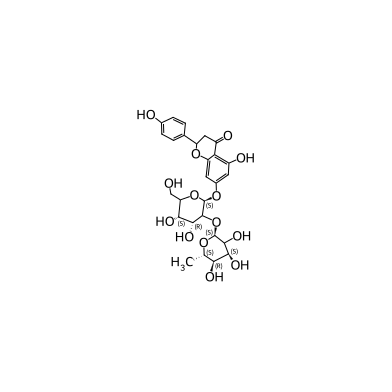 C[C@@H]1O[C@@H](OC2[C@H](Oc3cc(O)c4c(c3)OC(c3ccc(O)cc3)CC4=O)OC(CO)[C@@H](O)[C@H]2O)C(O)[C@@H](O)[C@H]1O